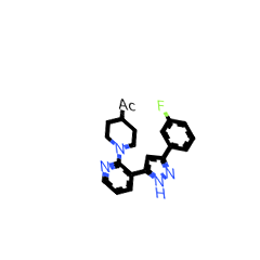 CC(=O)C1CCN(c2ncccc2-c2cc(-c3cccc(F)c3)n[nH]2)CC1